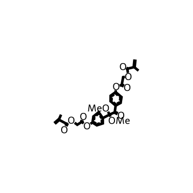 C=C(C)C(=O)OCC(=O)Oc1ccc(C(=O)C(OC)(OC)c2ccc(OC(=O)COC(=O)C(=C)C)cc2)cc1